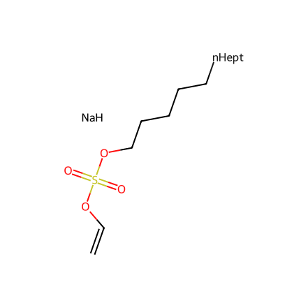 C=COS(=O)(=O)OCCCCCCCCCCCC.[NaH]